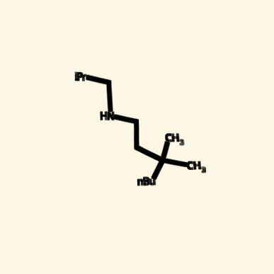 CCCCC(C)(C)CCNCC(C)C